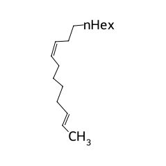 C/C=C/CCCC/C=C\CCCCCCCC